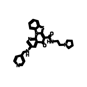 O=C(NCCN1CCCC1)c1c(=O)c2cc(NCc3ccncc3)cnc2n2c1sc1ccccc12